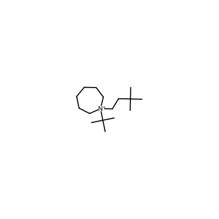 CC(C)(C)CC[N+]1(C(C)(C)C)CCCCCC1